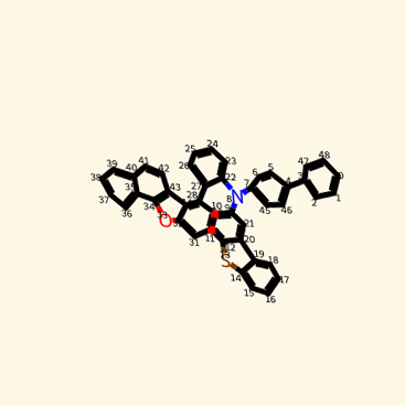 c1ccc(-c2ccc(N(c3ccc4sc5ccccc5c4c3)c3ccccc3-c3cccc4oc5c6ccccc6ccc5c34)cc2)cc1